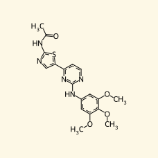 COc1cc(Nc2nccc(-c3cnc(NC(C)=O)s3)n2)cc(OC)c1OC